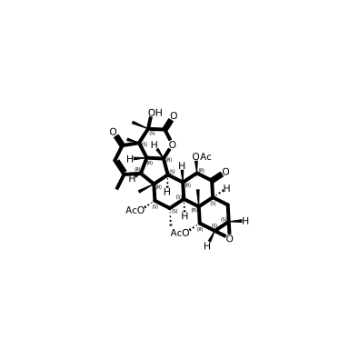 CC(=O)O[C@H]1C(=O)[C@H]2C[C@@H]3O[C@@H]3[C@H](OC(C)=O)[C@]2(C)[C@H]2[C@H](C)[C@H](OC(C)=O)[C@@]3(C)[C@@H]([C@H]4OC(=O)[C@@](C)(O)[C@@]5(C)C(=O)C=C(C)[C@H]3[C@@H]45)[C@@H]21